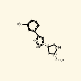 Cc1cccc(-c2cn([C@@H]3CN[C@H](C(=O)O)C3)nn2)c1